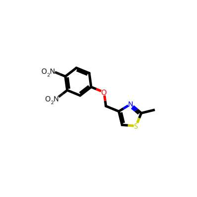 Cc1nc(COc2ccc([N+](=O)[O-])c([N+](=O)[O-])c2)cs1